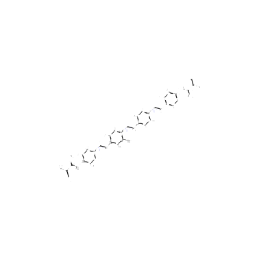 C=C(C)C(=O)Oc1ccc(/C=C/c2ccc(/C=C/c3ccc(/C=C/c4ccc(OC(=O)C(=C)C)cc4)cc3F)cc2)cc1